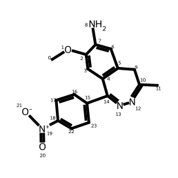 COc1cc2c(cc1N)CC(C)=NN=C2c1ccc([N+](=O)[O-])cc1